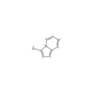 Clc1ccc2cnccn12